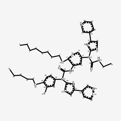 CCCCCCCCOc1ccc(N(C(=O)NCC)c2nc(-c3cccnc3)cs2)cc1NC(=O)N(c1ccc(OCCCCC)c(F)c1)c1nc(-c2cccnc2)cs1